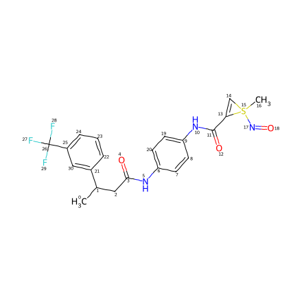 CC(CC(=O)Nc1ccc(NC(=O)C2=CS2(C)N=O)cc1)c1cccc(C(F)(F)F)c1